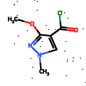 COc1nn(C)cc1C(=O)Cl